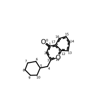 O=c1cc(CC2CCCCC2)oc2ccccc12